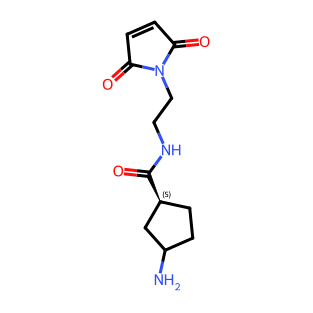 NC1CC[C@H](C(=O)NCCN2C(=O)C=CC2=O)C1